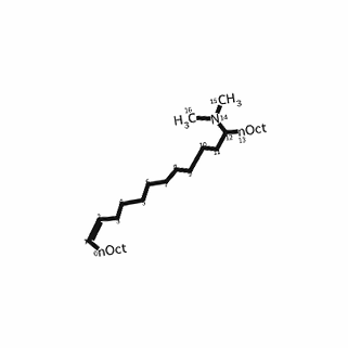 CCCCCCCC/C=C\CCCCCCCCCC(CCCCCCCC)N(C)C